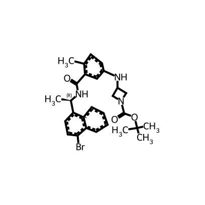 Cc1ccc(NC2CN(C(=O)OC(C)(C)C)C2)cc1C(=O)N[C@H](C)c1ccc(Br)c2ccccc12